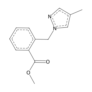 COC(=O)c1ccccc1Cn1cc(C)cn1